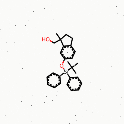 CC1(CO)CCc2ccc(O[Si](c3ccccc3)(c3ccccc3)C(C)(C)C)cc21